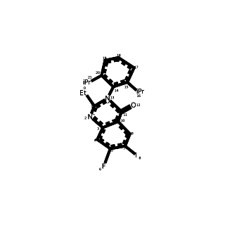 CCc1nc2cc(F)c(I)cc2c(=O)n1-c1c(C(C)C)cccc1C(C)C